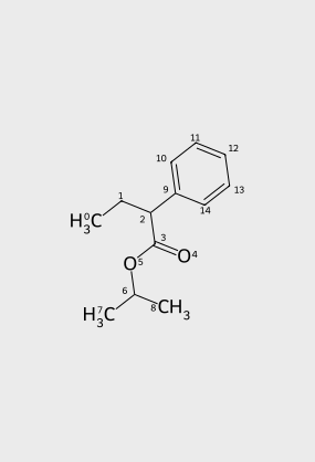 CCC(C(=O)OC(C)C)c1ccccc1